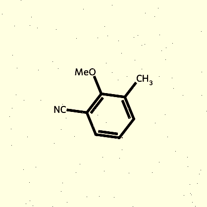 COc1c(C)c[c]cc1C#N